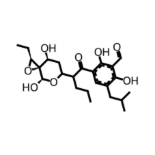 CCCC(C(=O)c1cc(CC(C)C)c(O)c(C=O)c1O)C1C[C@H](O)[C@]2(O[C@H]2CC)[C@H](O)O1